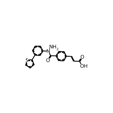 NN(C(=O)c1ccc(C=CC(=O)O)cc1)c1cccc(-c2cccs2)c1